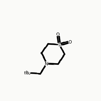 CC(C)(C)CN1CCS(=O)(=O)CC1